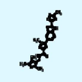 Cc1noc(-c2cc3cc(-c4cc(C(=O)NCc5c(C)nn(C)c5C)nn4C)ccc3[nH]2)n1